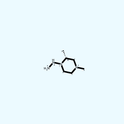 C[C@@H]1CN(C)CCN1NN